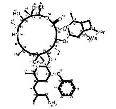 CCCN1CC2[C@H](C)O[C@@H](O[C@H]3[C@H](C)[C@@H](O[C@@H]4O[C@H](C)C(CC(C)CN)C[C@H]4Oc4ccccc4)[C@](C)(O)C[C@@H](C)CN[C@H](C)[C@@H](O)[C@](C)(O)[C@@H](CC)OC(=O)[C@@H]3C)C[C@@]21OC